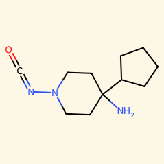 NC1(C2CCCC2)CCN(N=C=O)CC1